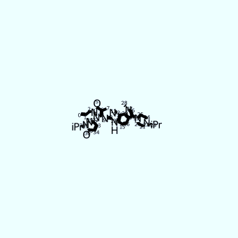 C=CCn1c(=O)c(C)c(/N=C(\N=C)Nc2ccc3c(N4CCN(C(C)C)CC4)cn(C)c3c2)n1-c1ccc(=O)n(C(C)C)n1